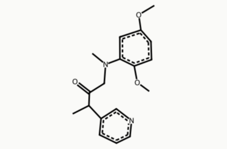 COc1ccc(OC)c(N(C)CC(=O)C(C)c2cccnc2)c1